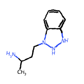 CC(N)CCN1NNc2ccccc21